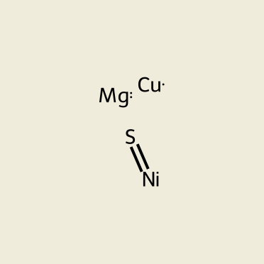 [Cu].[Mg].[S]=[Ni]